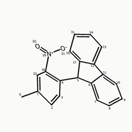 Cc1ccc(C2c3ccccc3-c3ccccc32)c([N+](=O)[O-])c1